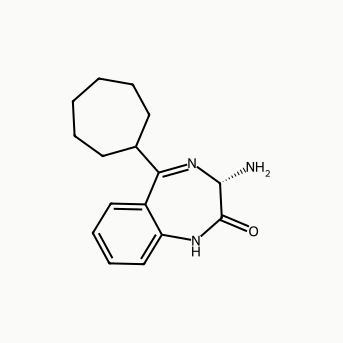 N[C@H]1N=C(C2CCCCCC2)c2ccccc2NC1=O